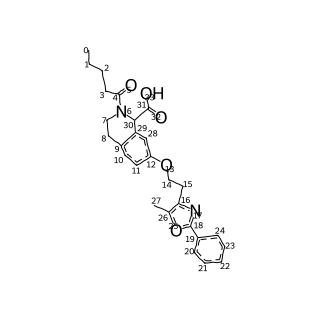 CCCCC(=O)N1CCc2ccc(OCCc3nc(-c4ccccc4)oc3C)cc2C1C(=O)O